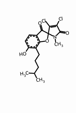 CC(C)CCCc1c(O)ccc2c1OC1(C2=O)C(Cl)=C(Cl)C(=O)N1C